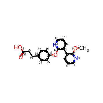 COc1ncccc1-c1cccnc1Oc1ccc(CCC(=O)O)cc1